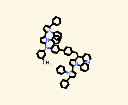 Cc1cccc(N(c2ccc(-c3ccc(CC(c4cccnc4)c4ccc(-c5ccc(-c6ccccc6)n5-c5ccccc5)n4-c4ccccc4)cc3)cc2)c2ccc(-c3ccc(-c4ccccc4)n3-c3ccccc3)n2-c2ccccc2)c1